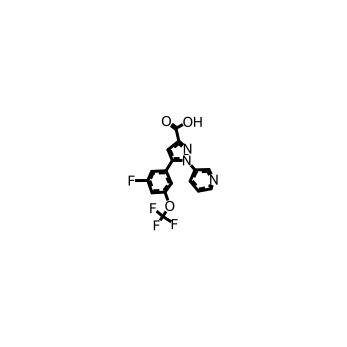 O=C(O)c1cc(-c2cc(F)cc(OC(F)(F)F)c2)n(-c2cccnc2)n1